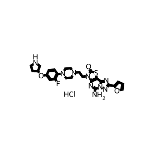 Cl.Nc1nc2c(sc(=O)n2CCN2CCN(c3ccc(OC4CCNC4)cc3F)CC2)c2nc(-c3ccco3)nn12